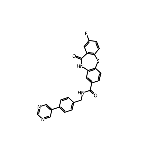 O=C(NCc1ccc(-c2cncnc2)cc1)c1ccc2c(c1)NC(=O)c1cc(F)ccc1S2